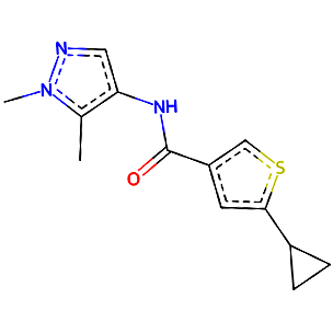 Cc1c(NC(=O)c2csc(C3CC3)c2)cnn1C